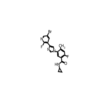 Cc1cc(F)c(C(=O)NC2CC2)cc1-n1cnc(-c2cc(Br)cnc2F)c1